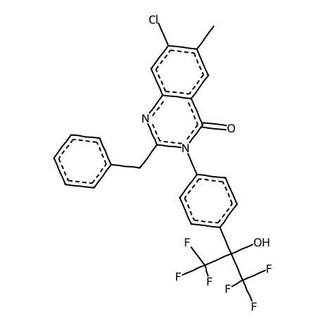 Cc1cc2c(=O)n(-c3ccc(C(O)(C(F)(F)F)C(F)(F)F)cc3)c(Cc3ccccc3)nc2cc1Cl